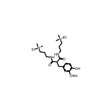 CC[N+](C)(C)CCCNC(=O)C(Cc1ccc(O)c(OC)c1)C(=O)NCCC[N+](C)(C)CC